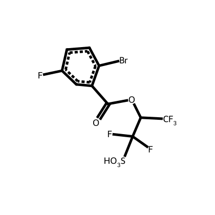 O=C(OC(C(F)(F)F)C(F)(F)S(=O)(=O)O)c1cc(F)ccc1Br